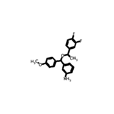 COc1ccc(C(OC(C)c2ccc(F)c(F)c2)c2cccc(N)c2)cc1